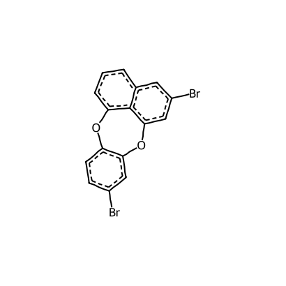 Brc1ccc2c(c1)Oc1cc(Br)cc3cccc(c13)O2